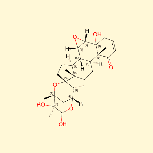 C[C@@H]1[C@H]2C[C@@](C)(O[C@@]13CC[C@H]1[C@@H]4[C@@H]5O[C@@H]5[C@@]5(O)CC=CC(=O)[C@]5(C)[C@H]4CC[C@@]13C)[C@](C)(O)C(O)O2